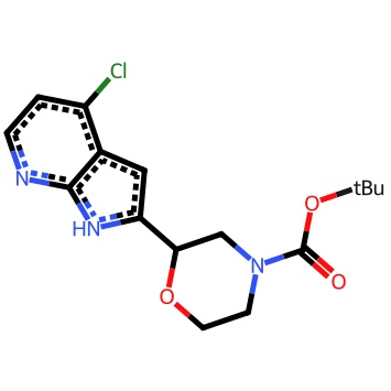 CC(C)(C)OC(=O)N1CCOC(c2cc3c(Cl)ccnc3[nH]2)C1